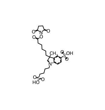 CC1(CCCCCC(=O)ON2C(=O)CCC2=O)C=[N+](CCCCS(=O)(=O)O)c2ccc(S(=O)(=O)O)cc21